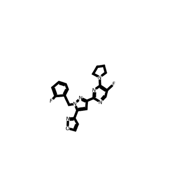 Fc1ccccc1Cn1nc(-c2ncc(F)c(N3CCCC3)n2)cc1-c1ccon1